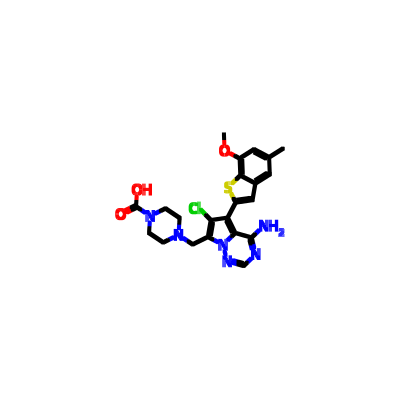 COc1cc(C)cc2cc(-c3c(Cl)c(CN4CCN(C(=O)O)CC4)n4ncnc(N)c34)sc12